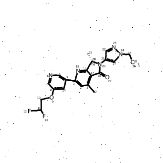 Cc1cc(-c2cncc(OCC(F)F)c2)nc2c1C(=O)N(c1cnn(CC(F)(F)F)c1)[C@H]2C